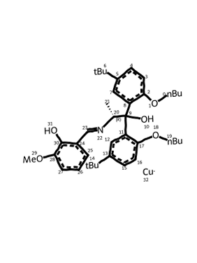 CCCCOc1ccc(C(C)(C)C)cc1C(O)(c1cc(C(C)(C)C)ccc1OCCCC)[C@@H](C)N=Cc1cccc(OC)c1O.[Cu]